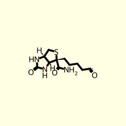 NC(=O)[C@@]1(CCCC[C]=O)SC[C@@H]2NC(=O)N[C@@H]21